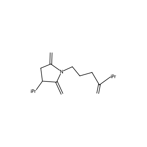 C=C(CCCN1C(=C)CC(C(C)C)C1=C)C(C)C